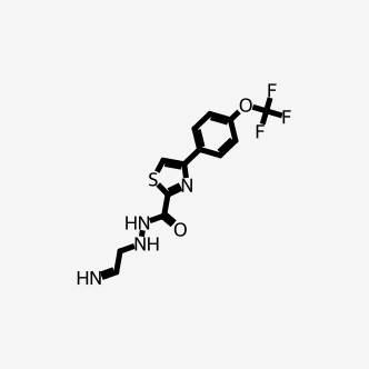 N=CCNNC(=O)c1nc(-c2ccc(OC(F)(F)F)cc2)cs1